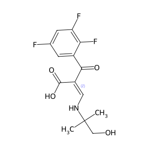 CC(C)(CO)N/C=C(\C(=O)O)C(=O)c1cc(F)cc(F)c1F